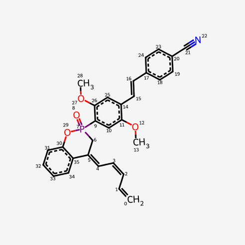 C=C/C=C\C=C1/CP(=O)(c2cc(OC)c(/C=C/c3ccc(C#N)cc3)cc2OC)Oc2ccccc21